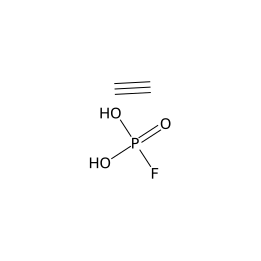 C#C.O=P(O)(O)F